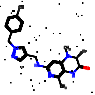 Cc1nc(NCc2cnn(Cc3ccc(C#N)cc3)c2)cc2c1NC(=O)[C@H](C(C)C)N2C